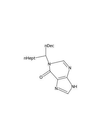 CCCCCCCCCCC(CCCCCCC)n1cnc2[nH]cnc2c1=O